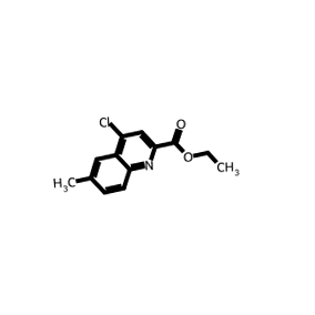 CCOC(=O)c1cc(Cl)c2cc(C)ccc2n1